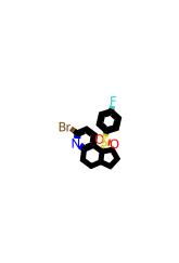 O=S(=O)(c1ccc(F)cc1)C12CCCC1CCc1nc(Br)ccc12